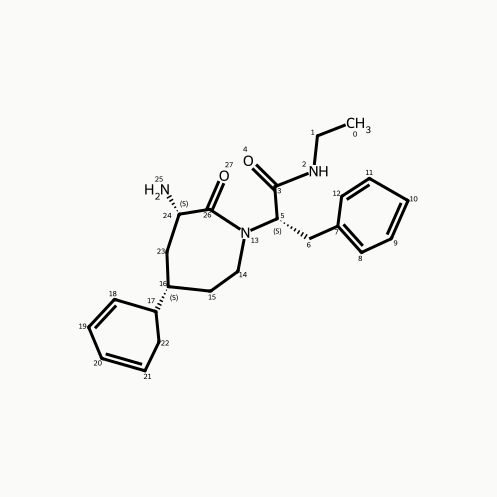 CCNC(=O)[C@H](Cc1ccccc1)N1CC[C@H](C2C=CC=CC2)C[C@H](N)C1=O